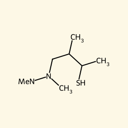 CNN(C)CC(C)C(C)S